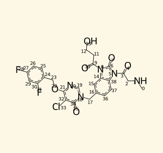 CNCC(=O)n1c(=O)n(C(=O)CCO)c2cc(Cn3cnc(OCc4ccc(F)cc4F)c(Cl)c3=O)ccc21